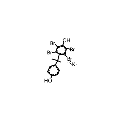 CC(C)(c1ccc(O)cc1)c1c(Br)c(Br)c(O)c(Br)c1Br.[K].[K]